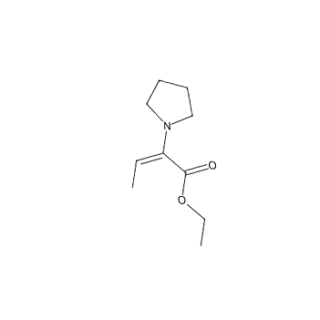 CC=C(C(=O)OCC)N1CCCC1